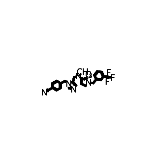 CN(Cc1cncn1Cc1ccc(C#N)cc1)[C@@H]1CCN(Cc2cccc(C(F)(F)F)c2)C1=O